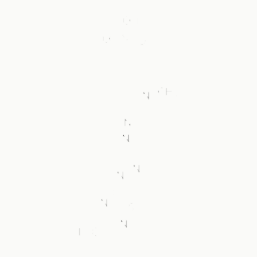 Cc1nsc(N=Nc2ccc(N(C)CCCS(=O)(=O)O)nn2)n1